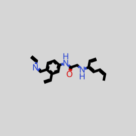 C=C/N=C\c1ccc(NC(=O)CN/C(C=C)=C/C=C\C)cc1C=C